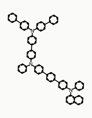 c1ccc(-c2ccc(N(c3ccc(-c4ccccc4)cc3)c3ccc(-c4ccc(N(c5ccccc5)c5ccc(-c6ccc(-c7ccc(N(c8ccccc8)c8cccc9ccccc89)cc7)cc6)cc5)cc4)cc3)cc2)cc1